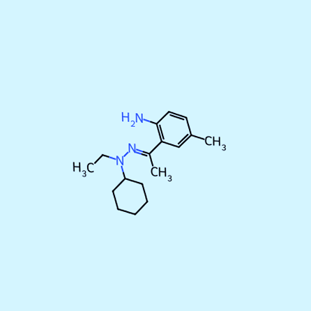 CCN(/N=C(\C)c1cc(C)ccc1N)C1CCCCC1